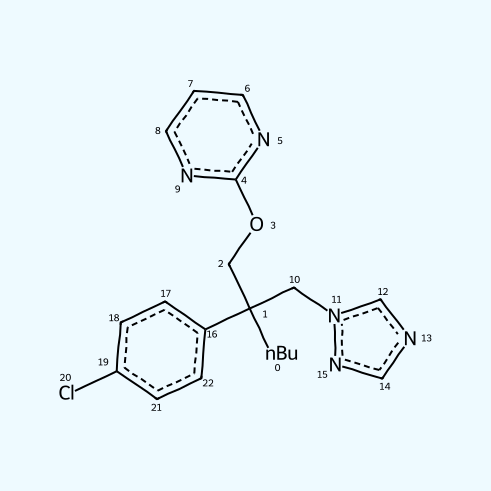 CCCCC(COc1ncccn1)(Cn1cncn1)c1ccc(Cl)cc1